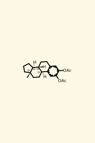 CC(=O)Oc1cc2c(cc1OC(C)=O)[C@H]1CC[C@]3(C)CCC[C@H]3[C@@H]1CC2